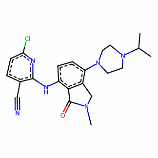 CC(C)N1CCN(c2ccc(Nc3nc(Cl)ccc3C#N)c3c2CN(C)C3=O)CC1